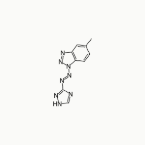 Cc1ccc2c(c1)nnn2/N=N/c1nc[nH]n1